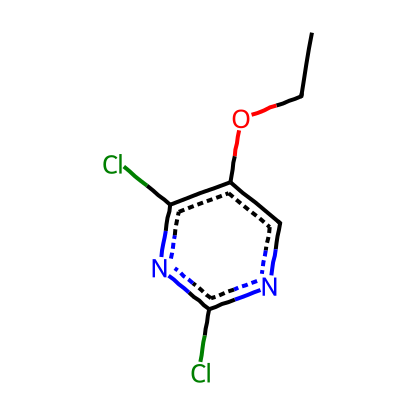 CCOc1cnc(Cl)nc1Cl